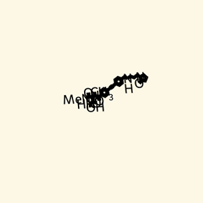 CNC(=O)C(C(=O)NO)N(C)C(=O)c1ccc(C#Cc2ccc(CNCCCN3CCCC3=O)cc2)cc1